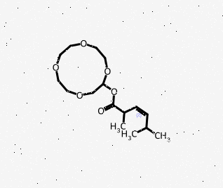 CC(C)/C=C\C(C)C(=O)OC1COCCOCCOCCO1